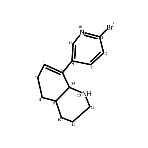 Brc1ccc(C2=CCCC3CCCNC23)cn1